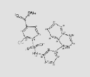 COC(=O)c1ccc(S(=O)(=O)Nc2cccc(-c3ncnc4ccccc34)c2)c(Cl)c1